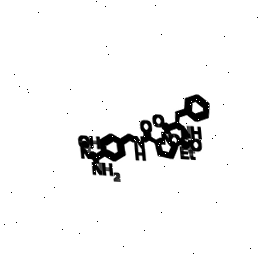 CCS(=O)(=O)N[C@H](Cc1ccccc1)C(=O)N1CCC[C@H]1C(=O)NCc1ccc(/C(N)=N\O)cc1